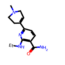 CCNc1nc(C2=CCN(C)CC2)ccc1C(N)=O